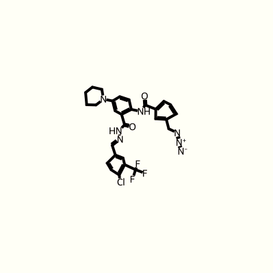 [N-]=[N+]=NCc1cccc(C(=O)Nc2ccc(N3CCCCC3)cc2C(=O)NN=Cc2ccc(Cl)c(C(F)(F)F)c2)c1